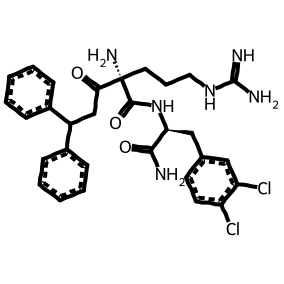 N=C(N)NCCC[C@](N)(C(=O)CC(c1ccccc1)c1ccccc1)C(=O)N[C@@H](Cc1ccc(Cl)c(Cl)c1)C(N)=O